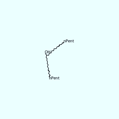 CCCCCC=CCC=CCCCCCCCCC(CO)CCCCCCCCC=CCC=CCCCCC